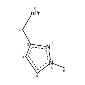 CCCCc1c[c]n(C)n1